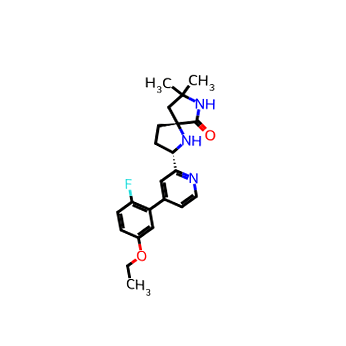 CCOc1ccc(F)c(-c2ccnc([C@@H]3CC[C@]4(CC(C)(C)NC4=O)N3)c2)c1